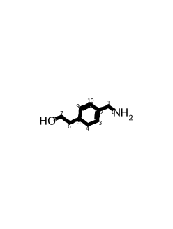 NCC1=CCC(CCO)C=C1